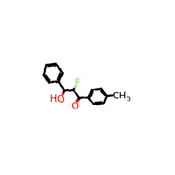 Cc1ccc(C(=O)C(F)C(O)c2ccccc2)cc1